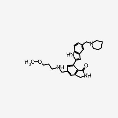 COCCCNCc1cc2c(c(-c3cc4cc(CN5CCCCC5)ccc4[nH]3)c1)C(=O)NC2